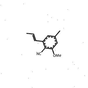 C/C=C/c1cc(C)cc(OC)c1C#N